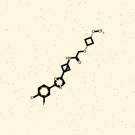 O=C(CO[C@H]1C[C@@H](OC(F)(F)F)C1)NC12CC(c3cnc(-c4ccc(Cl)c(F)c4)o3)(C1)C2